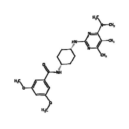 COc1cc(OC)cc(C(=O)N[C@H]2CC[C@@H](Nc3nc(C)c(C)c(N(C)C)n3)CC2)c1